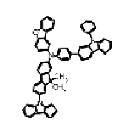 CC1(C)c2cc(N(c3ccc(-c4ccc5c6ccccc6n(-c6ccccc6)c5c4)cc3)c3ccc4oc5ccccc5c4c3)ccc2-c2ccc(-n3c4ccccc4c4ccccc43)cc21